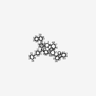 Cc1cccc2c1-c1c(N(c3ccc(-c4ccccc4)cc3)c3ccc(-c4cccc5ccccc45)cc3)ccc(C)c1C2(c1ccccc1)c1ccc(-c2cccc3c2oc2ccccc23)cc1